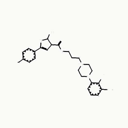 CC1NC(c2ccc(Cl)cc2)=CC1C(=O)NCCCN1CCN(c2cccc(Cl)c2Cl)CC1